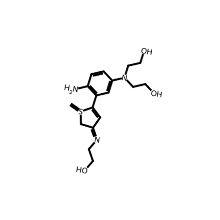 C=S1CC(=NCCO)C=C1c1cc(N(CCO)CCO)ccc1N